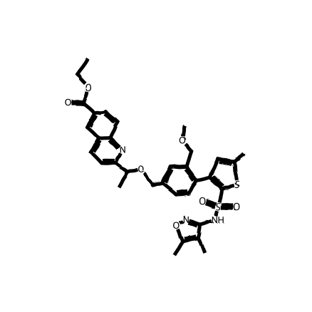 CCOC(=O)c1ccc2nc(C(C)OCc3ccc(-c4cc(C)sc4S(=O)(=O)Nc4noc(C)c4C)c(COC)c3)ccc2c1